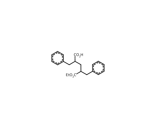 CCOC(=O)C(Cc1ccccc1)CC(Cc1ccccc1)C(=O)O